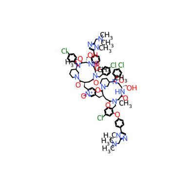 C[C@H]1C(=O)N[C@@H](CO)C(=O)N(C)[C@@]2(Cc3ccc(Cl)cc3)CCCN(C2)C(=O)[C@H](Cc2ccc(C[C@@H]3CC(=O)N(Cc4ccc(Cl)cc4Oc4ccc(-c5cnc(CN(C)C)n5C)cc4)[C@@H](C)C(=O)N[C@@H](CO)C(=O)N(C)[C@@]4(Cc5ccc(Cl)cc5)CCCN(C4)C3=O)[n+]([O-])c2)CC(=O)N1Cc1ccc(Cl)cc1Oc1ccc(-c2cnc(CN(C)C)n2C)cc1